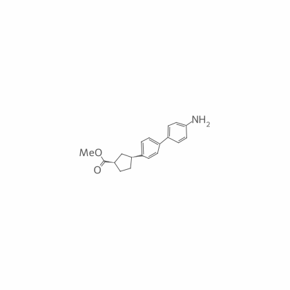 COC(=O)[C@@H]1CC[C@H](c2ccc(-c3ccc(N)cc3)cc2)C1